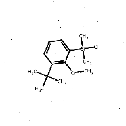 COc1c(C(C)(C)C)cccc1[Si](C)(C)Cl